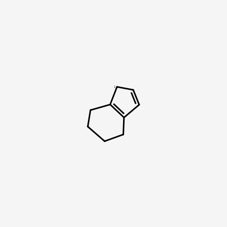 [C]1C=CC2=C1CCCC2